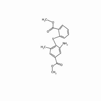 COC(=O)c1cc(C)c(Sc2ccccc2C(=O)OC)c(N)c1